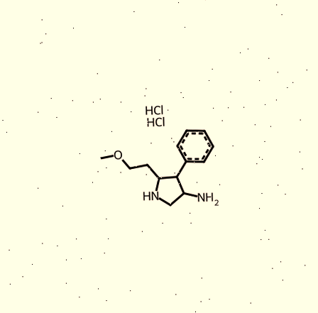 COCCC1NCC(N)C1c1ccccc1.Cl.Cl